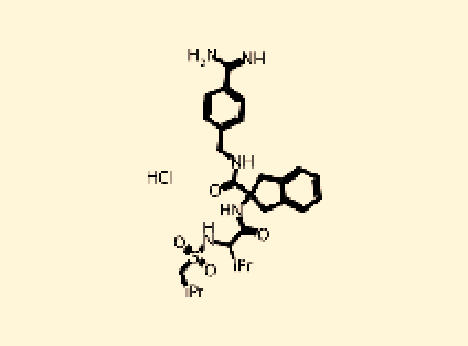 CC(C)CS(=O)(=O)N[C@@H](C(=O)NC1(C(=O)NCc2ccc(C(=N)N)cc2)Cc2ccccc2C1)C(C)C.Cl